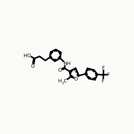 Cc1oc(-c2ccc(C(F)(F)F)cc2)cc1C(=O)Nc1cccc(CCC(=O)O)c1